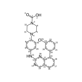 O=C(O)N1CCN(c2ccc(Nc3ncc4cccc(-c5cccc(Cl)c5)c4n3)cc2)CC1